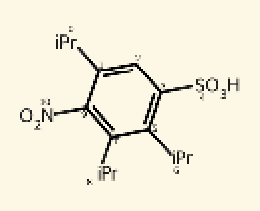 CC(C)c1cc(S(=O)(=O)O)c(C(C)C)c(C(C)C)c1[N+](=O)[O-]